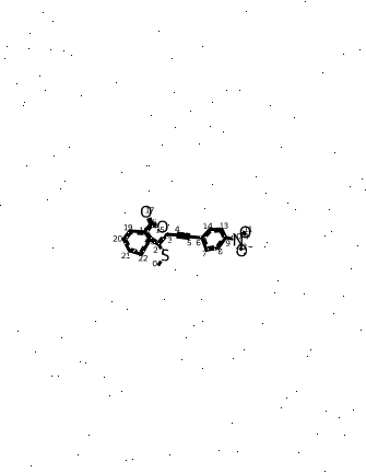 CSc1c(C#Cc2ccc([N+](=O)[O-])cc2)oc(=O)c2ccccc12